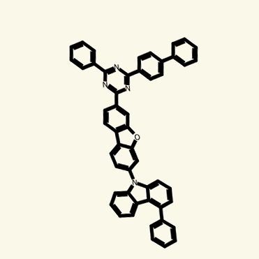 c1ccc(-c2ccc(-c3nc(-c4ccccc4)nc(-c4ccc5c(c4)oc4cc(-n6c7ccccc7c7c(-c8ccccc8)cccc76)ccc45)n3)cc2)cc1